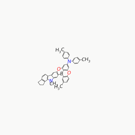 Cc1ccc(N(c2ccc(C)cc2)c2cc3c4c(c2)Oc2cc5c6ccc7c(c6n(C)c5cc2B4c2cc(C)ccc2O3)CCC7)cc1